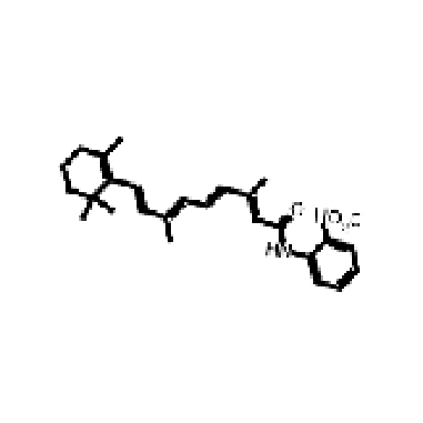 CC(C=CC1=C(C)CCCC1(C)C)=CC=CC(C)=CC(=O)Nc1ccccc1C(=O)O